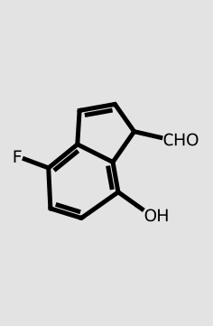 O=CC1C=Cc2c(F)ccc(O)c21